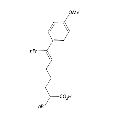 CCCC(=CCCCC(CCC)C(=O)O)c1ccc(OC)cc1